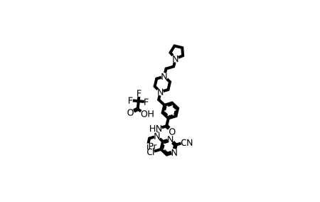 CC(C)CN(NC(=O)c1cccc(CN2CCN(CCN3CCCC3)CC2)c1)c1nc(C#N)ncc1Cl.O=C(O)C(F)(F)F